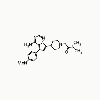 CNc1ccc(-c2cc(C3CCN(CC(=O)N(C)C)CC3)n3ncnc(N)c23)cc1